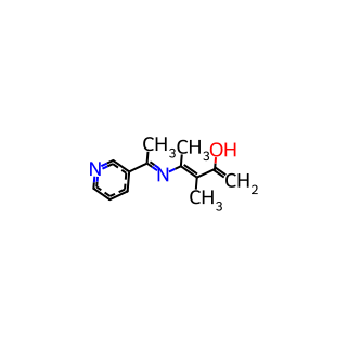 C=C(O)/C(C)=C(C)/N=C(\C)c1cccnc1